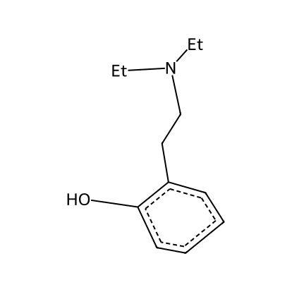 CCN(CC)CCc1ccccc1O